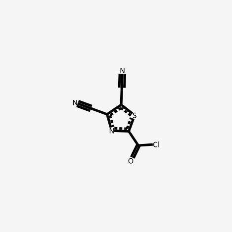 N#Cc1nc(C(=O)Cl)sc1C#N